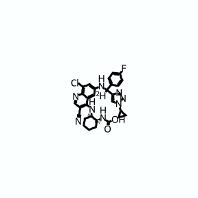 [2H]C(Nc1cc(Cl)c2ncc(C#N)c(N[C@@H]3CCCC[C@@H]3NC(=O)O)c2c1)(c1ccc(F)cc1)c1cn(C2CC2)nn1